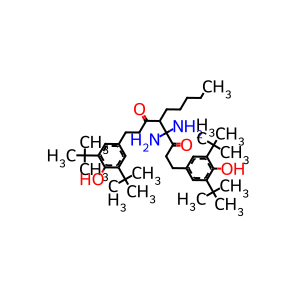 CCCCCC(C(=O)CCc1cc(C(C)(C)C)c(O)c(C(C)(C)C)c1)C(N)(N)C(=O)CCc1cc(C(C)(C)C)c(O)c(C(C)(C)C)c1